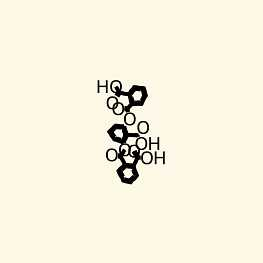 O=C(O)c1ccccc1C(=O)Oc1cccc(OC(=O)c2ccccc2C(=O)O)c1C(=O)O